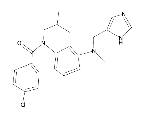 CC(C)CN(C(=O)c1ccc(Cl)cc1)c1cccc(N(C)Cc2cnc[nH]2)c1